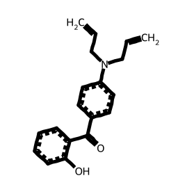 C=CCN(CC=C)c1ccc(C(=O)c2ccccc2O)cc1